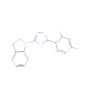 Fc1cc(Br)cc(F)c1-c1nc(N2CCc3ccccc32)no1